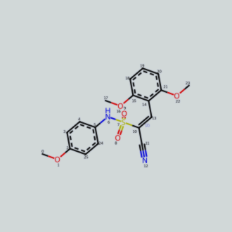 COc1ccc(NS(=O)(=O)/C(C#N)=C\c2c(OC)cccc2OC)cc1